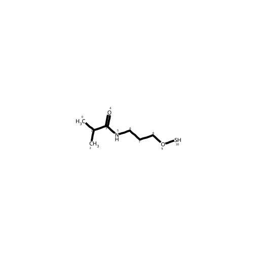 CC(C)C(=O)NCCCOS